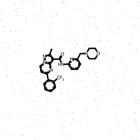 Cc1nn2ccc(-c3ccccc3C(F)(F)F)nc2c1C(=O)Nc1cccc(CN2CCOCC2)n1